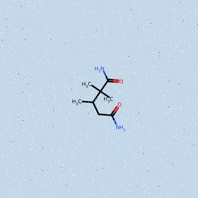 CC(CC(N)=O)C(C)(C)C(N)=O